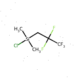 C[Si](C)(Cl)CC(F)(F)C(F)(F)F